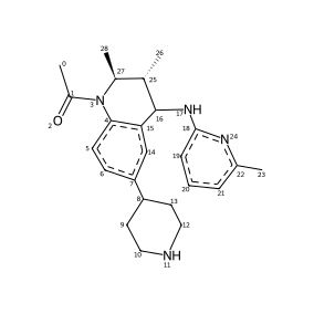 CC(=O)N1c2ccc(C3CCNCC3)cc2C(Nc2cccc(C)n2)[C@@H](C)[C@@H]1C